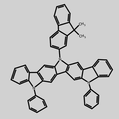 CC1(C)c2ccccc2-c2ccc(-n3c4cc5c6ccccc6n(-c6ccccc6)c5cc4c4cc5c(cc43)c3ccccc3n5-c3ccccc3)cc21